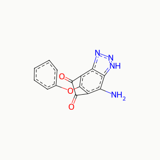 Nc1c2c(Oc3ccccc3)c(c3nn[nH]c13)C(=O)C2=O